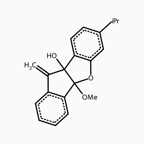 C=C1c2ccccc2C2(OC)Oc3cc(C(C)C)ccc3C12O